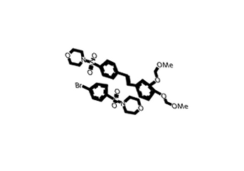 COCOc1ccc(C=Cc2ccc(S(=O)(=O)N3CCOCC3)cc2)cc1OCOC.O=S(=O)(c1ccc(Br)cc1)N1CCOCC1